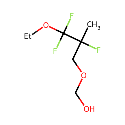 CCOC(F)(F)C(C)(F)COCO